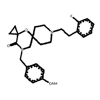 COc1ccc(CN2CC3(CCN(CCc4ccccc4F)CC3)OC3(CC3)C2=O)cc1